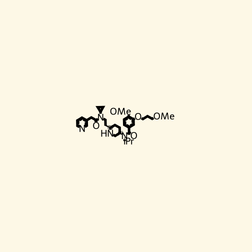 COCCCOc1cc(C(=O)N(C(C)C)[C@@H]2CC[C@H](CCN(C(=O)Cc3cccnc3)C3CC3)NC2)ccc1OC